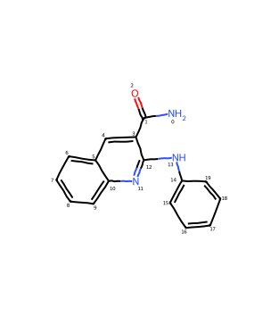 NC(=O)c1cc2ccccc2nc1Nc1ccccc1